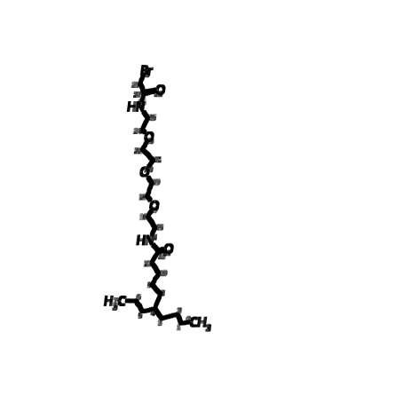 CCCCC(CCC)CCCCC(=O)NCCOCCOCCOCCNC(=O)CBr